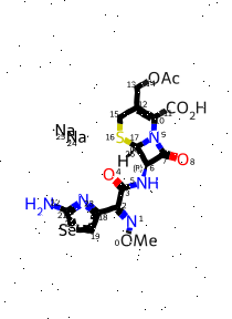 CON=C(C(=O)N[C@@H]1C(=O)N2C(C(=O)O)=C(COC(C)=O)CS[C@H]12)c1c[se]c(N)n1.[Na].[Na]